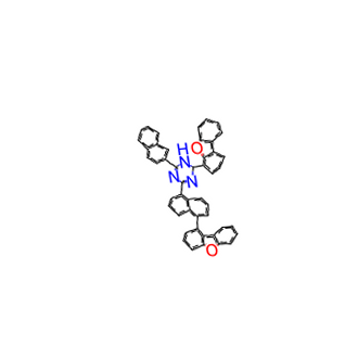 c1ccc2cc(C3=NC(c4cccc5c(-c6cccc7oc8ccccc8c67)cccc45)=NC(c4cccc5c4oc4ccccc45)N3)ccc2c1